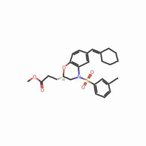 COC(=O)CC[C@H]1CN(S(=O)(=O)c2cccc(C)c2)c2cc(C=C3CCCCC3)ccc2O1